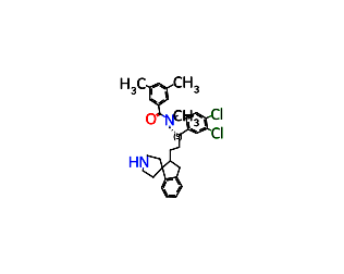 Cc1cc(C)cc(C(=O)N(C)C[C@@H](CCC2Cc3ccccc3C23CCNCC3)c2ccc(Cl)c(Cl)c2)c1